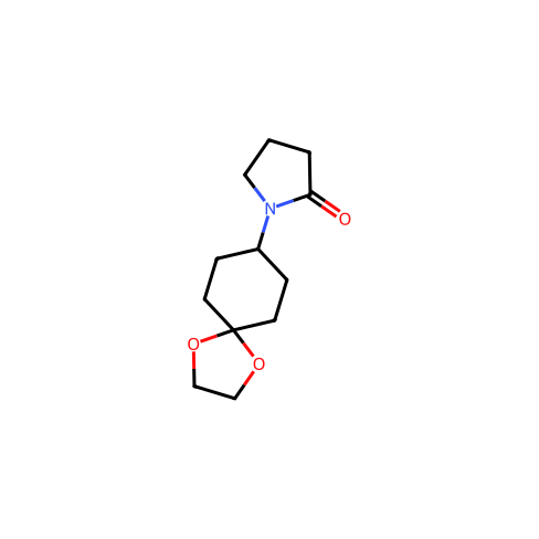 O=C1CCCN1C1CCC2(CC1)OCCO2